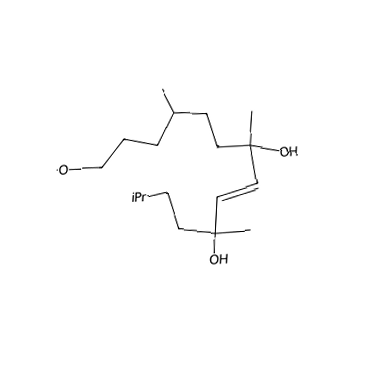 CC(C)CCC(C)(O)C=CC(C)(O)CCC(C)CCC[O]